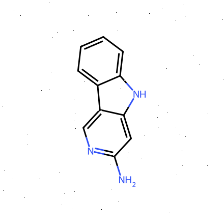 Nc1cc2[nH]c3ccccc3c2cn1